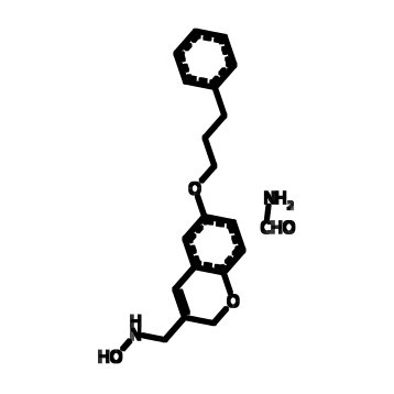 NC=O.ONCC1=Cc2cc(OCCCc3ccccc3)ccc2OC1